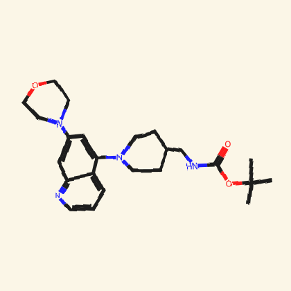 CC(C)(C)OC(=O)NCC1CCN(c2cc(N3CCOCC3)cc3ncccc23)CC1